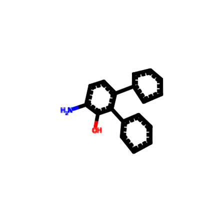 Nc1ccc(-c2ccccc2)c(-c2ccccc2)c1O